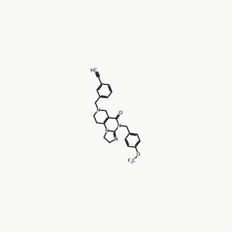 C#Cc1cccc(CN2CCC3=C(C2)C(=O)N(Cc2ccc(OC(F)(F)F)cc2)C2=NCCN23)c1